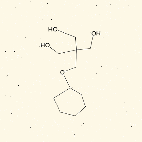 OCC(CO)(CO)COC1CCCCC1